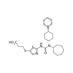 O=C(O)CCSc1cnc(NC(=O)N(C2CCCCCC2)[C@H]2CC[C@H](c3ccccc3)CC2)s1